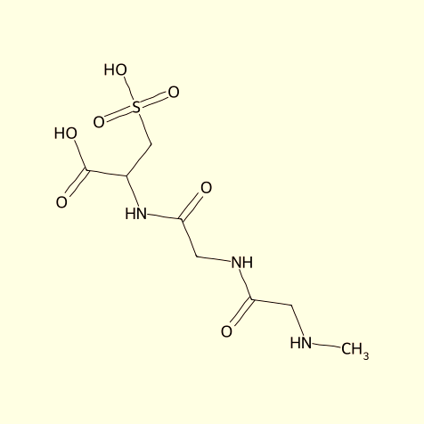 CNCC(=O)NCC(=O)NC(CS(=O)(=O)O)C(=O)O